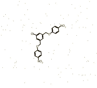 O=[N+]([O-])c1ccc(OCc2cc(Cl)cc(COc3ccc([N+](=O)[O-])cc3)c2)cc1